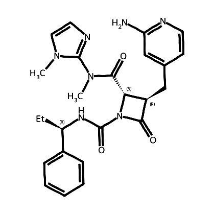 CC[C@@H](NC(=O)N1C(=O)[C@H](Cc2ccnc(N)c2)[C@H]1C(=O)N(C)c1nccn1C)c1ccccc1